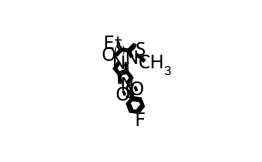 CC[C@H](C(=O)N1CC2=C(C1)CN(S(=O)(=O)c1ccc(F)cc1)C2)c1csc(C)n1